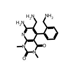 Cn1c(=O)c2c(-c3ccccc3CN)c(CN)c(N)nc2n(C)c1=O